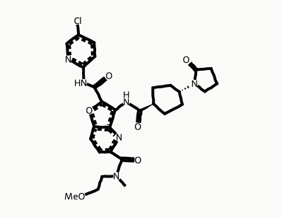 COCCN(C)C(=O)c1ccc2oc(C(=O)Nc3ccc(Cl)cn3)c(NC(=O)[C@H]3CC[C@H](N4CCCC4=O)CC3)c2n1